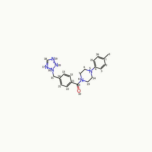 Cc1ccc(N2CCN(C(=O)c3ccc(Cn4ncnn4)cc3)CC2)cc1